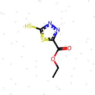 CCOC(=O)c1nnc(S)s1